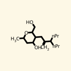 C=C(CC1C(O)CC(C)OC1CO)C(CCC)CCC